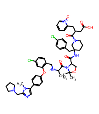 CC(NCc1ccc(Cl)cc1Oc1ccc(-c2cnc(CN3CCCC3)n2C)cc1)C(=O)N1C(C(=O)NC2(Cc3ccc(Cl)cc3)CCCN(C(=O)C(CC(=O)O)Cc3cccc[n+]3[O-])C2)COC1(C)C